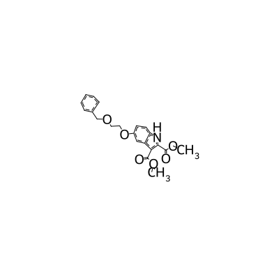 COC(=O)c1[nH]c2ccc(OCCOCc3ccccc3)cc2c1C(=O)OC